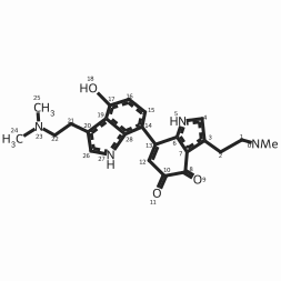 CNCCc1c[nH]c2c1C(=O)C(=O)C=C2c1ccc(O)c2c(CCN(C)C)c[nH]c12